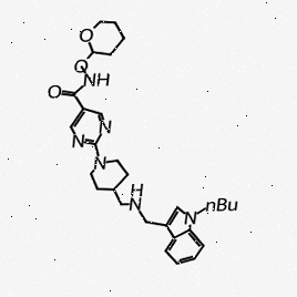 CCCCn1cc(CNCC2CCN(c3ncc(C(=O)NOC4CCCCO4)cn3)CC2)c2ccccc21